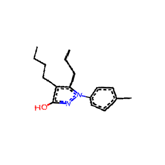 CCCCc1c(O)nn(-c2ccc(C)cc2)c1CCC